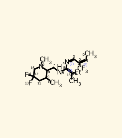 C\C=C(/C=N\C(NCC1C(C)CC(F)(F)CN1C)=C(\C)CC)C(F)(F)F